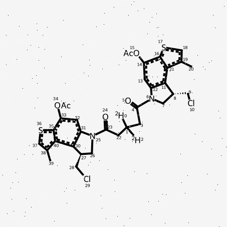 [2H]C([2H])(CC(=O)N1C[C@@H](CCl)c2c1cc(OC(C)=O)c1scc(C)c21)CC(=O)N1C[C@@H](CCl)c2c1cc(OC(C)=O)c1scc(C)c21